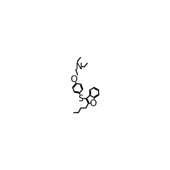 CCCCc1oc2ccccc2c1Sc1ccc(OCCN(CC)CC)cc1